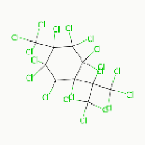 Cl[C]1C(Cl)(Cl)C(Cl)(C(Cl)(Cl)Cl)C(Cl)(Cl)C(Cl)(Cl)C1(Cl)C(Cl)(C(Cl)(Cl)Cl)C(Cl)(Cl)Cl